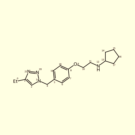 CCc1cn(Cc2ccc(OCCNC3CCCC3)cc2)nn1